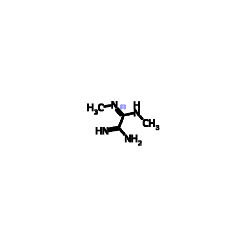 C/N=C(/NC)C(=N)N